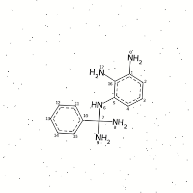 Nc1cccc(NC(N)(N)c2ccccc2)c1N